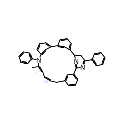 C/C1=C\C=C/Cc2cccc(c2)C2=NC(CC(c3ccccc3)=N2)c2cccc(c2)-c2cccc(c2)N1c1ccccc1